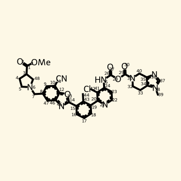 COC(=O)C1CCN(Cc2cc(C#N)c3oc(-c4cccc(-c5nccc(NC(=O)OC(=O)N6CCc7c(ncn7C)C6)c5Cl)c4C)nc3c2)C1